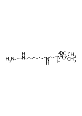 CC(C)(C)OC(=O)NCCCNCCCCCCCCNCCCN